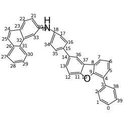 c1ccc(-c2cccc3c2oc2ccc(-c4ccc(Nc5ccc6ccc7ccccc7c6c5)cc4)cc23)cc1